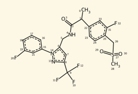 CC(C(=O)NCc1cc(C(F)(F)F)nn1-c1cccc(F)c1)c1ccc(CS(C)(=O)=O)c(F)c1